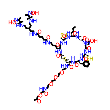 CCCC[C@@H]1NC(=O)[C@H](CS)NC(=O)[C@H](CCCCNC(=O)CCCC(=O)NCCC(CCNC(C)(C)/C(C)=N\O)CCNC(C)(C)/C(C)=N\O)NC(=O)CSC[C@@H](C(=O)NCCOCCOCCOCCNC(=O)COCC(C)=O)NC(=O)[C@H](Cc2ccccc2)NC(=O)[C@H](CS)NC(=O)[C@H](CC(=O)O)NC(=O)CNC1=O